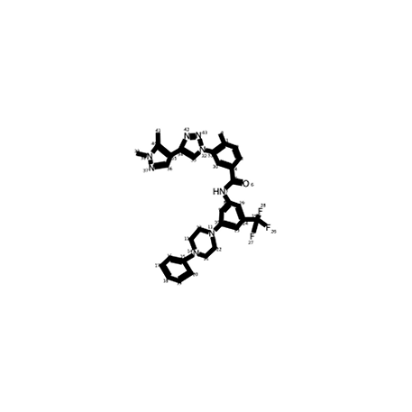 Cc1ccc(C(=O)Nc2cc(N3CCN(c4ccccc4)CC3)cc(C(F)(F)F)c2)cc1-n1cc(-c2cnn(C)c2C)nn1